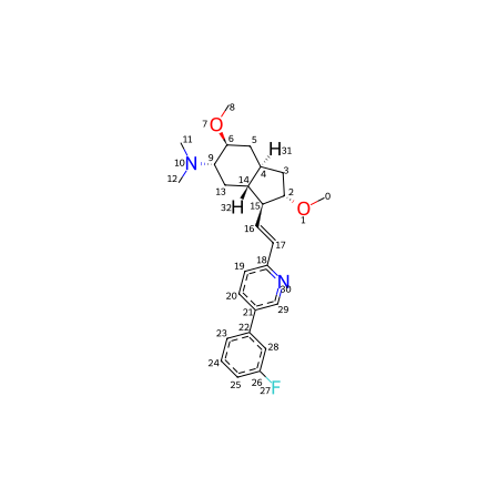 CO[C@H]1C[C@@H]2C[C@H](OC)[C@@H](N(C)C)C[C@H]2[C@@H]1C=Cc1ccc(-c2cccc(F)c2)cn1